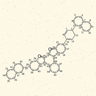 C1=CC(c2cccc3ccccc23)CC=C1c1ccc2c(c1)oc1c3oc4cc(-c5ccc6ccccc6c5)ccc4c3c3ccccc3c21